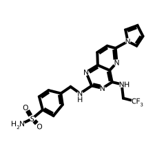 NS(=O)(=O)c1ccc(CNc2nc(NCC(F)(F)F)c3nc(-n4cccc4)ccc3n2)cc1